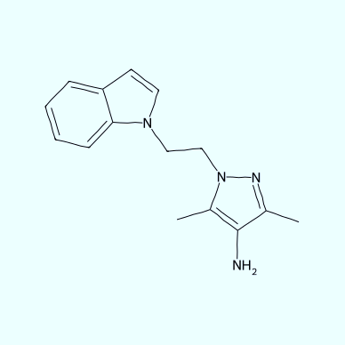 Cc1nn(CCn2ccc3ccccc32)c(C)c1N